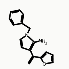 C=C(c1ccco1)c1ccn(Cc2ccccc2)c1N